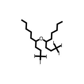 CCCCCC(CCC(I)(I)I)OC(CCCCC)CCC(I)(I)I